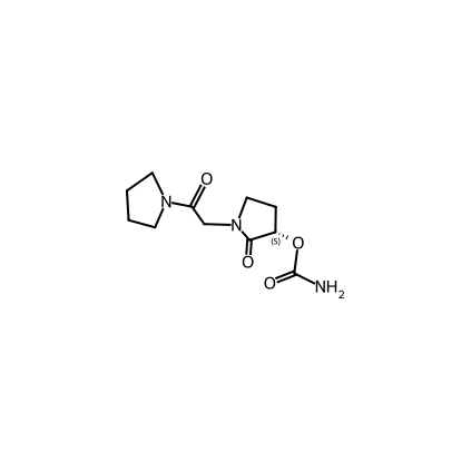 NC(=O)O[C@H]1CCN(CC(=O)N2CCCC2)C1=O